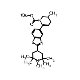 C[C@H]1CC=C(c2ccc3sc(C4CC(C)(C)N(C)C(C)(C)C4)nc3c2)N(C(=O)OC(C)(C)C)C1